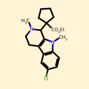 CCOC(=O)C1(C2c3c(c4cc(Cl)ccc4n3C)CCN2C)CCCC1